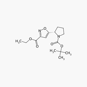 CCOC(=O)c1cc([C@@H]2CCCN2C(=O)OC(C)(C)C)on1